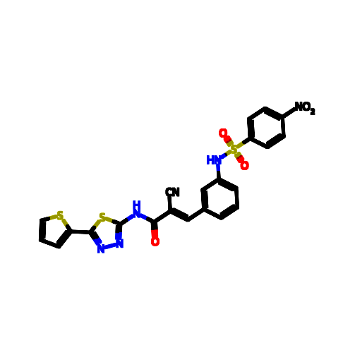 N#C/C(=C\c1cccc(NS(=O)(=O)c2ccc([N+](=O)[O-])cc2)c1)C(=O)Nc1nnc(-c2cccs2)s1